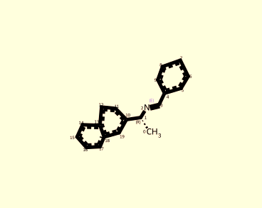 C[C@@H](/N=C/c1ccccc1)c1ccc2ccccc2c1